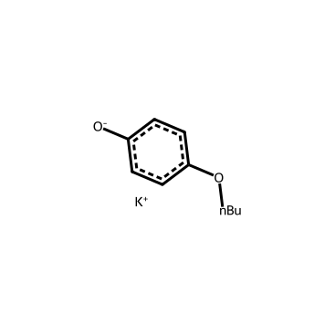 CCCCOc1ccc([O-])cc1.[K+]